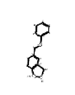 c1ccc(OCc2ccc3c(c2)COO3)cc1